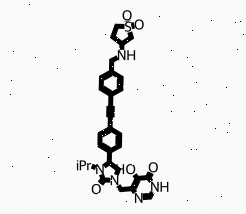 CC(C)N1C(=O)N(Cc2nc[nH]c(=O)c2O)CC1c1ccc(C#Cc2ccc(CNC3CCS(=O)(=O)C3)cc2)cc1